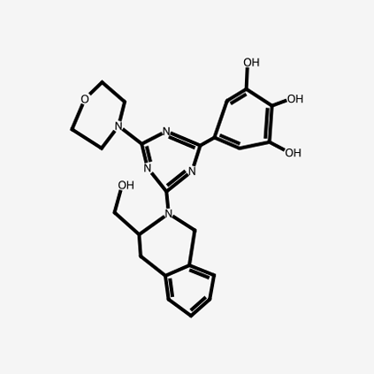 OCC1Cc2ccccc2CN1c1nc(-c2cc(O)c(O)c(O)c2)nc(N2CCOCC2)n1